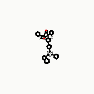 c1ccc(-c2nc(-c3ccc(-c4ccc5c(c4)Oc4ccccc4C54c5ccccc5-c5c4ccc4sc6ccccc6c54)cc3)nc(-c3cccc4ccccc34)n2)cc1